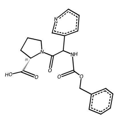 O=C(NC(C(=O)N1CCC[C@H]1C(=O)O)c1cccnc1)OCc1ccccc1